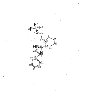 FC(F)(F)SCCN1CCCCC1c1nc(-c2ccccc2)c[nH]1